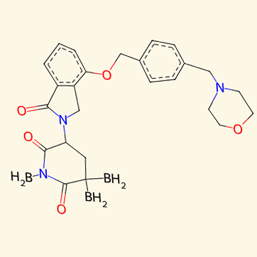 BN1C(=O)C(N2Cc3c(OCc4ccc(CN5CCOCC5)cc4)cccc3C2=O)CC(B)(B)C1=O